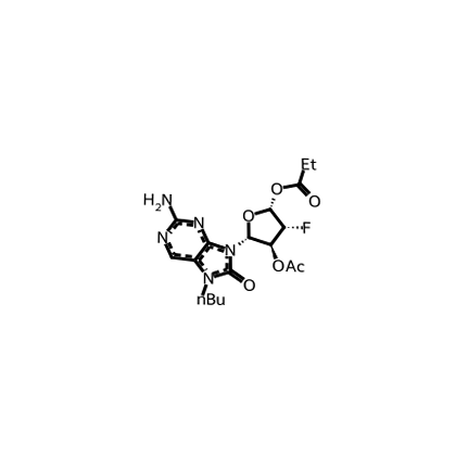 CCCCn1c(=O)n([C@@H]2O[C@H](OC(=O)CC)[C@H](F)[C@H]2OC(C)=O)c2nc(N)ncc21